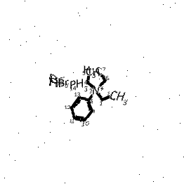 Br.CC[N+](CC)(CC)c1ccccc1.P.[Br-]